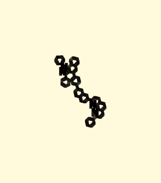 c1ccc(-c2ccc3ccc4ccc(-c5ccc6ccc(-c7ccc(-c8cc9ccccc9c9c8c(-c8ccccc8)nn9-c8ccccc8)cc7)cc6c5)nc4c3n2)cc1